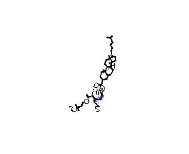 COC(C)(C)CCOC(C)CC(/C=C\NOC(=O)C1CC[C@@]2(C)C(=CC[C@@H]3C2CC[C@]2(C)[C@@H](CCCCC(C)C)CCC32C)C1)=C/C=S